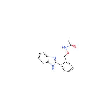 CC(=O)NOCc1ccccc1-c1nc2ccccc2[nH]1